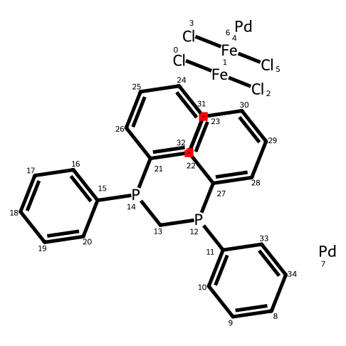 [Cl][Fe][Cl].[Cl][Fe][Cl].[Pd].[Pd].c1ccc(P(CP(c2ccccc2)c2ccccc2)c2ccccc2)cc1